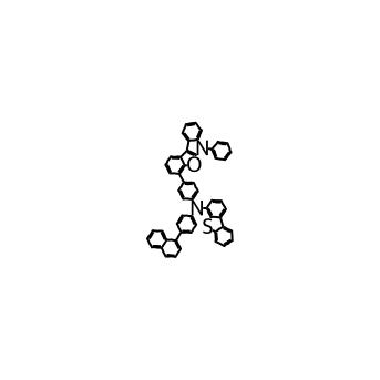 c1ccc(-n2c3ccccc3c3c4cccc(-c5ccc(N(c6ccc(-c7cccc8ccccc78)cc6)c6cccc7c6sc6ccccc67)cc5)c4oc32)cc1